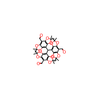 CC1(C)Oc2c(C=O)c3c(c(C(c4c5c(c(C=O)c6c4OC(C)(C)O6)OC(C)(C)O5)c4c5c(c(C=O)c6c4OC(C)(C)O6)OC(C)(C)O5)c2O1)OC(C)(C)O3